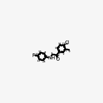 Cc1cc(C(=O)CNc2ccc(F)cc2)ccc1Cl